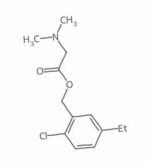 CCc1ccc(Cl)c(COC(=O)CN(C)C)c1